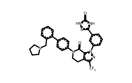 O=C1c2c(c(C(F)(F)F)nn2-c2cccc(-c3n[nH]c(=O)[nH]3)c2)CCN1c1ccc(-c2ccccc2CN2CCCC2)cc1